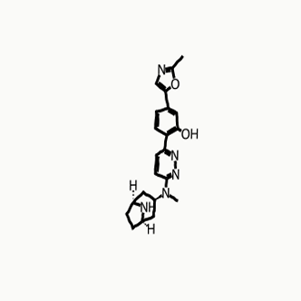 Cc1ncc(-c2ccc(-c3ccc(N(C)[C@H]4C[C@H]5CC[C@@H](C4)N5)nn3)c(O)c2)o1